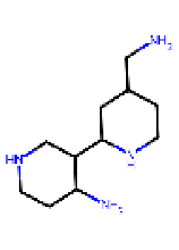 NCC1CCNC(C2CNCCC2N)C1